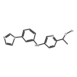 CCOC(C)c1ccc(Nc2cccc(-n3ccnc3)c2)cn1